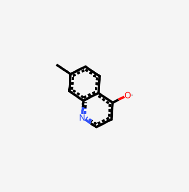 Cc1ccc2c([O])ccnc2c1